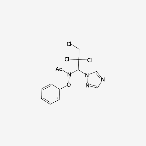 CC(=O)N(Oc1ccccc1)C(n1cncn1)C(Cl)(Cl)CCl